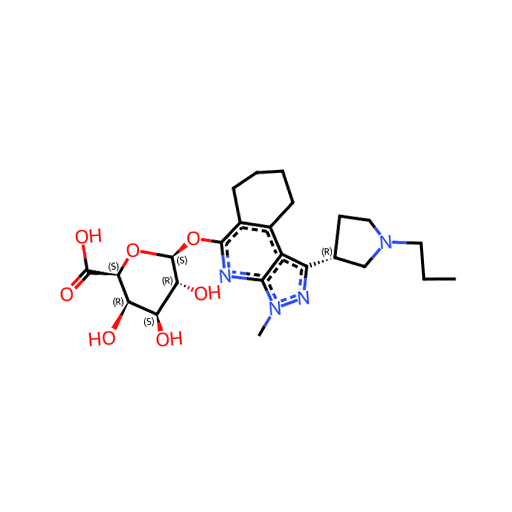 CCCN1CC[C@@H](c2nn(C)c3nc(O[C@@H]4O[C@H](C(=O)O)[C@H](O)[C@H](O)[C@H]4O)c4c(c23)CCCC4)C1